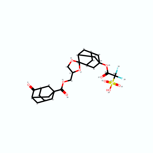 O=C1C2CC3CC1CC(C(=O)OCC1COC4(O1)C1CC5CC4CC(OC(=O)C(F)(F)S(=O)(=O)O)(C5)C1)(C3)C2